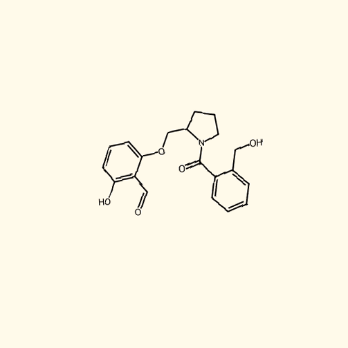 O=Cc1c(O)cccc1OCC1CCCN1C(=O)c1ccccc1CO